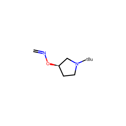 C=NO[C@@H]1CCN(C(C)(C)C)C1